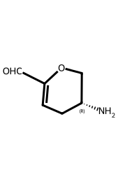 N[C@@H]1CC=C(C=O)OC1